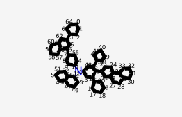 c1ccc(-c2cc(-c3ccc(N(c4cc(-c5ccccc5)c(-c5ccc6c(ccc7ccccc76)c5)c(-c5ccccc5)c4)c4cccc5ccccc45)cc3)c3ccccc3c2)cc1